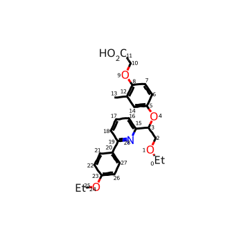 CCOCC(Oc1ccc(OCC(=O)O)c(C)c1)c1cccc(-c2ccc(OCC)cc2)n1